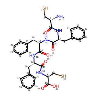 N[C@@H](CS)C(=O)N[C@@H](Cc1ccccc1)C(=O)N[C@@H](Cc1ccccc1)C(=O)N[C@@H](Cc1ccccc1)C(=O)N[C@@H](CS)C(=O)O